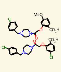 COc1ccc(C(=O)O)c(OCC(=O)N2CCN(Cc3ccc(Cl)cc3)CC2)c1.O=C(O)c1ccc(Cl)cc1OCC(=O)N1CCN(Cc2ccc(Cl)cc2)CC1